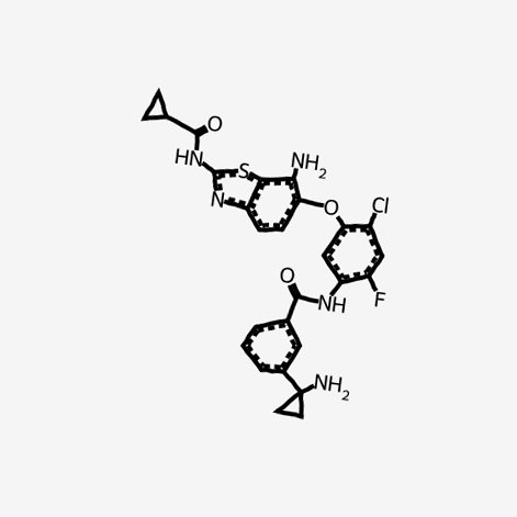 Nc1c(Oc2cc(NC(=O)c3cccc(C4(N)CC4)c3)c(F)cc2Cl)ccc2nc(NC(=O)C3CC3)sc12